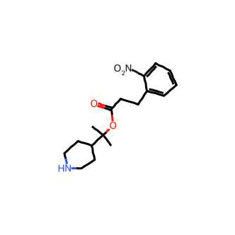 CC(C)(OC(=O)CCc1ccccc1[N+](=O)[O-])C1CCNCC1